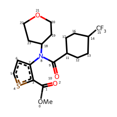 COC(=O)c1sccc1N(C(=O)C1CCC(C(F)(F)F)CC1)C1CCOCC1